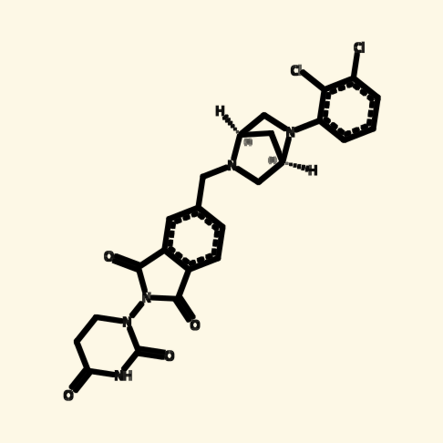 O=C1CCN(N2C(=O)c3ccc(CN4C[C@H]5C[C@@H]4CN5c4cccc(Cl)c4Cl)cc3C2=O)C(=O)N1